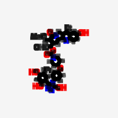 CCc1c2c(nc3ccc(O)cc13)-c1cc(C(C=O)OC(=O)N3CCC(Oc4ccc(-n5c(O)nnc5-c5cc(C(C)C)c(O)cc5O)cc4)CC3)c(COC)c(=O)n1C2